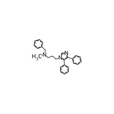 CN(CCCn1cnc(-c2ccccc2)c1-c1ccccc1)Cc1ccccc1